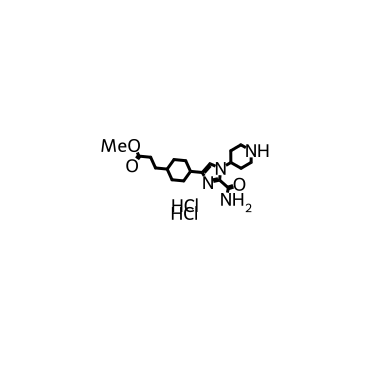 COC(=O)CCC1CCC(c2cn(C3CCNCC3)c(C(N)=O)n2)CC1.Cl.Cl